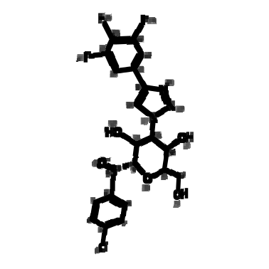 [O-][S+](c1ccc(Cl)cc1)[C@H]1OC(CO)[C@H](O)C(n2cc(-c3cc(F)c(F)c(F)c3)nn2)C1O